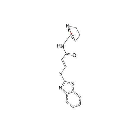 O=C(C=CSc1nc2ccccc2s1)NC1CN2CCC1CC2